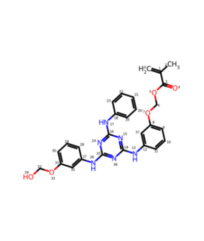 C=C(C)C(=O)OCOc1cccc(Nc2nc(Nc3ccccc3)nc(Nc3cccc(OCO)c3)n2)c1